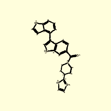 O=C(c1ccc2c(-c3cccc4[nH]ccc34)c[nH]c2c1)N1CCC(c2ncc[nH]2)CC1